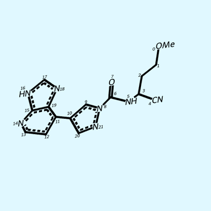 COCCC(C#N)NC(=O)n1cc(-c2ccnc3[nH]cnc23)cn1